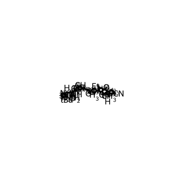 CCc1cc2c(cc1N1CCN(C(=O)CCCN3C[C@H](NC(=O)[C@H](CCCc4nccnc4N)NC(=O)OC(C)(C)C)C(C)(C)C3)CC1)C(C)(C)c1[nH]c3cc(C#N)ccc3c1C2=O